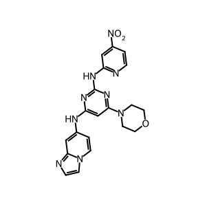 O=[N+]([O-])c1ccnc(Nc2nc(Nc3ccn4ccnc4c3)cc(N3CCOCC3)n2)c1